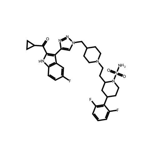 NS(=O)(=O)N1CCC(c2c(F)cccc2F)CC1CCN1CCC(Cn2cc(-c3c(C(=O)C4CC4)[nH]c4ccc(F)cc34)nn2)CC1